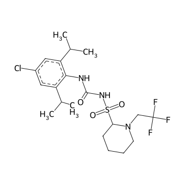 CC(C)c1cc(Cl)cc(C(C)C)c1NC(=O)NS(=O)(=O)C1CCCCN1CC(F)(F)F